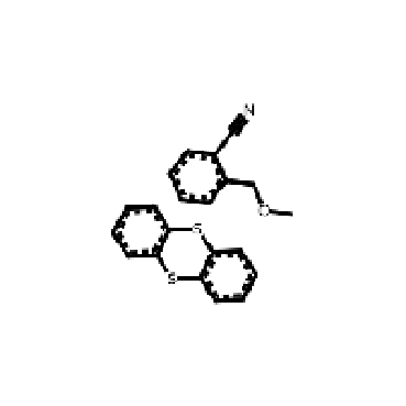 COCc1ccccc1C#N.c1ccc2c(c1)Sc1ccccc1S2